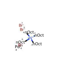 CCCCCCCC[N+](CCCCCCCC)(CCCCCCCC)CCCCCCCC.[Br-].[Br-].[Br-].[Pd+2]